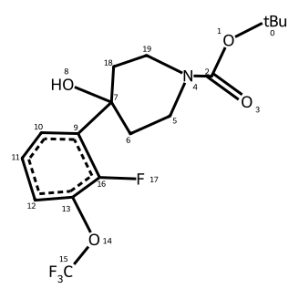 CC(C)(C)OC(=O)N1CCC(O)(c2cccc(OC(F)(F)F)c2F)CC1